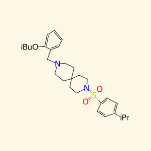 CC(C)COc1ccccc1CN1CCC2(CC1)CCN(S(=O)(=O)c1ccc(C(C)C)cc1)CC2